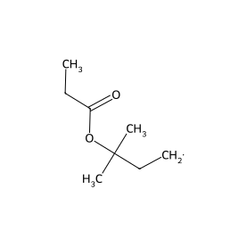 [CH2]CC(C)(C)OC(=O)CC